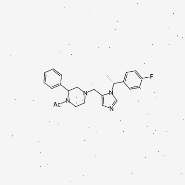 CC(=O)N1CCN(Cc2cncn2[C@H](C)c2ccc(F)cc2)CC1c1ccccc1